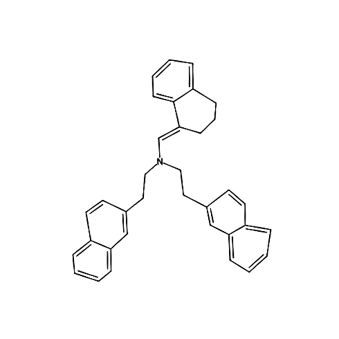 C(=C1/CCCc2ccccc21)/N(CCc1ccc2ccccc2c1)CCc1ccc2ccccc2c1